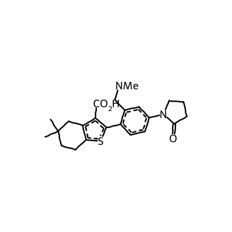 CNCc1cc(N2CCCC2=O)ccc1-c1sc2c(c1C(=O)O)CC(C)(C)CC2